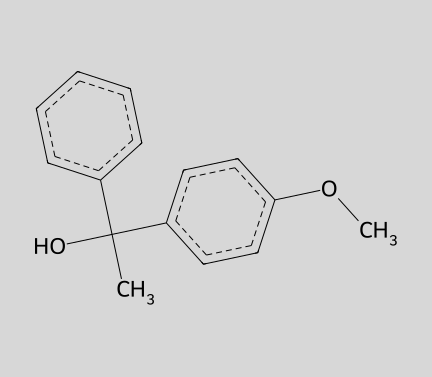 COc1ccc(C(C)(O)c2ccccc2)cc1